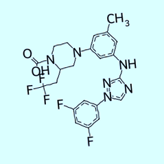 Cc1cc(Nc2ncn(-c3cc(F)cc(F)c3)n2)cc(N2CCN(C(=O)O)C(CC(F)(F)F)C2)c1